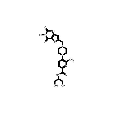 CCn1c(=O)[nH]c2cc(CN3CCN(c4ccc(C(=O)NC(CO)CO)nc4C)CC3)sc2c1=O